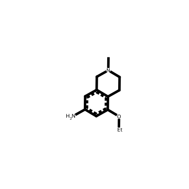 CCOc1cc(N)cc2c1CCN(C)C2